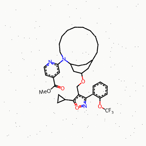 COC(=O)c1ccnc(N2CCCCCCCCCCC3CCC2CC(OCc2c(-c4ccccc4OC(F)(F)F)noc2C2CC2)C3)c1